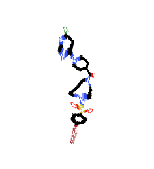 O=C(C1CCN(c2cc(Cl)ncn2)CC1)N1CCN(S(=O)(=O)c2ccc(Br)cc2)CC1